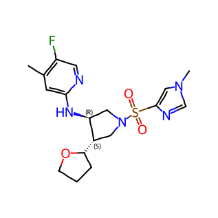 Cc1cc(N[C@H]2CN(S(=O)(=O)c3cn(C)cn3)C[C@@H]2C2CCCO2)ncc1F